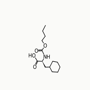 CCCCOC(=O)N[C@@H](CC1CCCCC1)C(=O)O